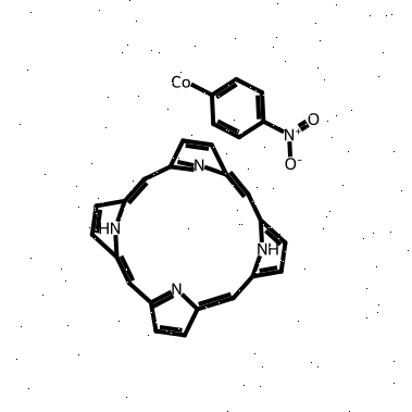 C1=Cc2cc3ccc(cc4nc(cc5ccc(cc1n2)[nH]5)C=C4)[nH]3.O=[N+]([O-])c1cc[c]([Co])cc1